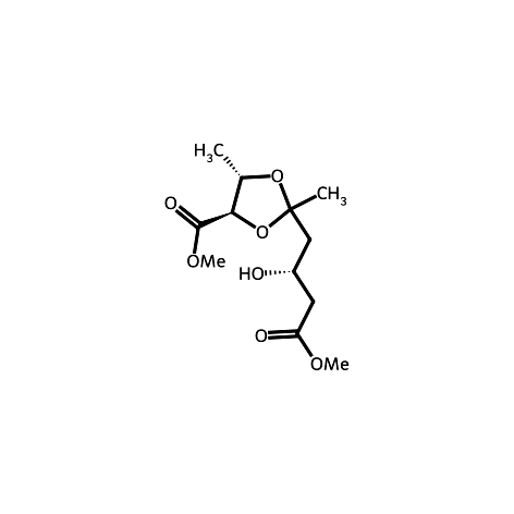 COC(=O)C[C@H](O)CC1(C)O[C@@H](C)[C@H](C(=O)OC)O1